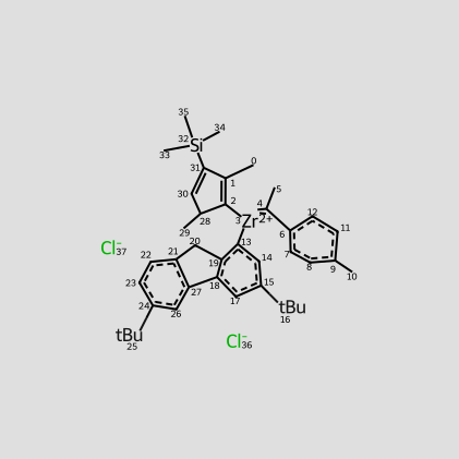 CC1=[C](/[Zr+2](=[C](\C)c2ccc(C)cc2)[c]2cc(C(C)(C)C)cc3c2Cc2ccc(C(C)(C)C)cc2-3)C(C)C=C1[Si](C)(C)C.[Cl-].[Cl-]